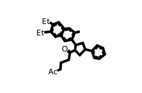 CCc1cc2cc(C)c(C3CC(c4ccccc4)CC3C(=O)CCCC(C)=O)cc2cc1CC